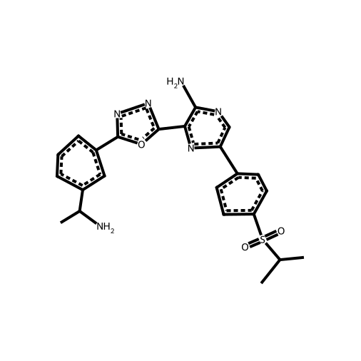 CC(N)c1cccc(-c2nnc(-c3nc(-c4ccc(S(=O)(=O)C(C)C)cc4)cnc3N)o2)c1